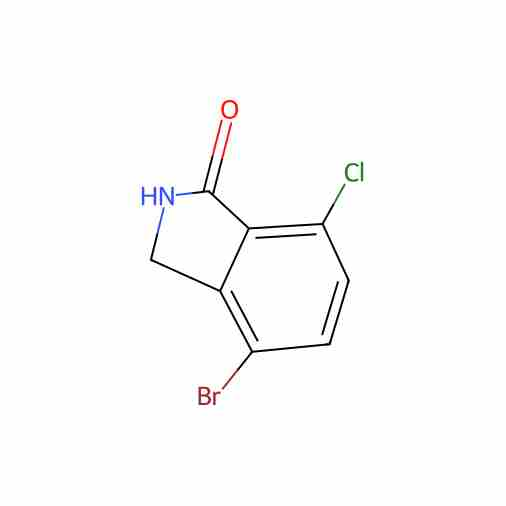 O=C1NCc2c(Br)ccc(Cl)c21